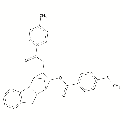 CSc1ccc(C(=O)OC2C3CC(C2OC(=O)c2ccc(C)cc2)C2c4ccccc4CC32)cc1